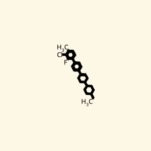 CCC1CCC(C2CC=C(c3ccc(-c4ccc(C)c(Cl)c4F)cc3)CC2)CC1